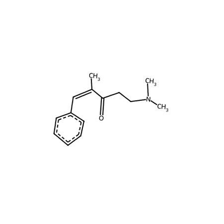 CC(=Cc1ccccc1)C(=O)CCN(C)C